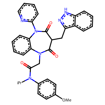 COc1ccc(N(C(=O)CN2C(=O)C(Cc3n[nH]c4ccccc34)C(=O)N(c3ccccn3)c3ccccc32)C(C)C)cc1